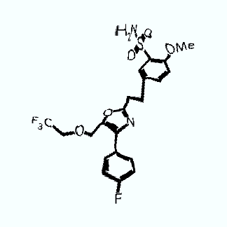 COc1ccc(CCc2nc(-c3ccc(F)cc3)c(COCC(F)(F)F)o2)cc1S(N)(=O)=O